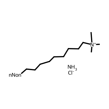 CCCCCCCCCCCCCCCCCC[N+](C)(C)C.N.[Cl-]